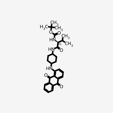 CC(C)[C@H](NC(=O)OC(C)(C)C)C(=O)NC1CCC(Nc2cccc3c2C(=O)c2ccccc2C3=O)CC1